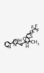 C[C@@H](NC(=O)C1CC1c1nc(-c2ccccn2)c[nH]1)c1ccc(OCC(F)(F)F)s1